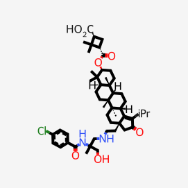 CC(C)C1=C2[C@H]3CC[C@@H]4[C@@]5(C)CC[C@H](OC(=O)[C@H]6C[C@@H](C(=O)O)C6(C)C)C(C)(C)[C@@H]5CC[C@@]4(C)[C@]3(C)CC[C@@]2(CCNCC(C)(CO)NC(=O)c2ccc(Cl)cc2)CC1=O